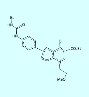 CCNC(=O)Nc1ccc(-c2ccc3c(c2)c(=O)c(C(=O)OCC)cn3CCOC)cn1